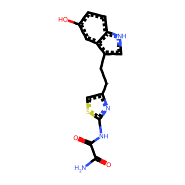 NC(=O)C(=O)Nc1nc([CH]Cc2c[nH]c3ccc(O)cc23)cs1